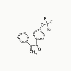 C=C(C(=O)c1ccc(OC(F)(F)Br)cc1)c1ccccc1